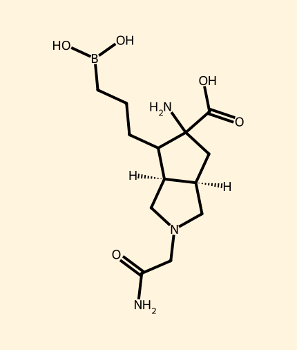 NC(=O)CN1C[C@@H]2CC(N)(C(=O)O)C(CCCB(O)O)[C@@H]2C1